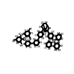 Cc1cc(C)c(B(c2cccc(-c3cccc(-c4ccc(C56CC7CC(C5)CC(c5ccc([Si](c8ccccc8)(c8ccccc8)c8ccccc8)cc5)(C7)C6)cc4)c3)c2)c2c(C)cc(C)cc2C)c(C)c1